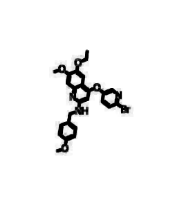 CCOc1cc2c(Oc3ccc(Br)nc3)cc(NCc3ccc(OC)cc3)nc2cc1OC